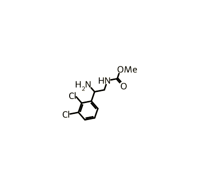 COC(=O)NCC(N)c1cccc(Cl)c1Cl